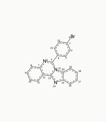 Brc1ccc(-c2nc3ccccc3c3nc4ccccc4n23)cc1